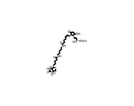 CCCCC[C@H](O)/C=C/[C@H]1C(O)CC(=O)[C@@H]1C/C=C\CCCC(=O)NCCCCCNC(=O)CCCC[C@H]1SC[C@@H]2NC(=O)N[C@@H]21